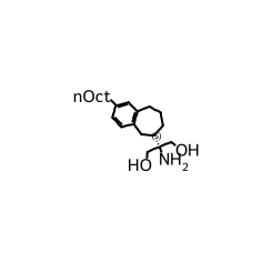 CCCCCCCCc1ccc2c(c1)CCC[C@H](C(N)(CO)CO)C2